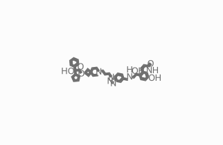 O=C(OC1CC2(CCN(CCCn3nnc4cc(CNC[C@H](O)c5ccc(O)c6[nH]c(=O)ccc56)ccc43)CC2)C1)C(O)(c1ccccc1)C1CCCC1